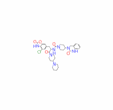 O=C(NC(Cc1cc(Cl)c2[nH]c(=O)oc2c1)C(=O)N1CCC(N2CCCCC2)CC1)N1CCC(N2Cc3ccccc3NC2=O)CC1